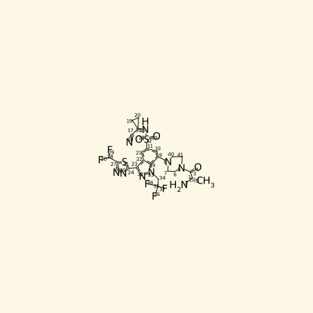 C[C@H](N)C(=O)N1CCN(c2cc(S(=O)(=O)NC3(C#N)CC3)cc3c(-c4nnc(C(F)F)s4)nn(CC(F)(F)F)c23)CC1